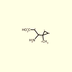 CC1(C(N)CC(=O)O)CC1